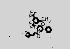 C[C@@H](O[C@H]1CCN(C(=O)/C=C/c2ccsc2)C[C@H]1c1ccccc1)c1cc(C(F)(F)F)cc(C(F)(F)F)c1